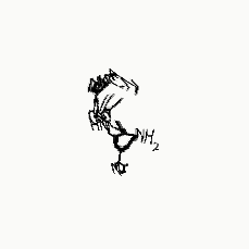 Cc1ccncc1-c1cc(N)c2cnc(NC(=O)C(=O)NCc3cnn(CC4(C#N)CC4)c3)cc2c1